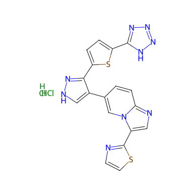 Cl.Cl.c1csc(-c2cnc3ccc(-c4c[nH]nc4-c4ccc(-c5nnn[nH]5)s4)cn23)n1